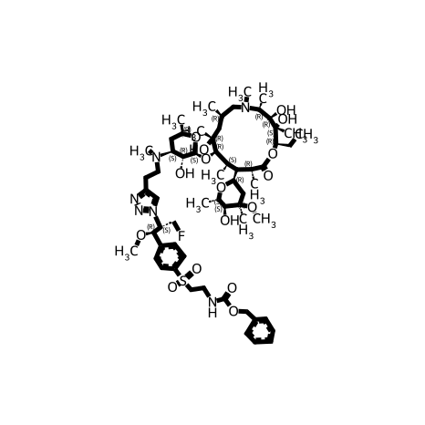 CC[C@H]1OC(=O)[C@H](C)C([C@H]2C[C@@](C)(OC)[C@@H](O)[C@H](C)O2)[C@H](C)[C@@H](O[C@@H]2O[C@H](C)C[C@H](N(C)CCc3cn([C@H](CF)[C@H](OC)c4ccc(S(=O)(=O)CCNC(=O)OCc5ccccc5)cc4)nn3)[C@H]2O)[C@](C)(O)C[C@@H](C)CN(C)[C@H](C)[C@@H](O)[C@]1(C)O